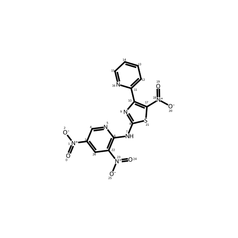 O=[N+]([O-])c1cnc(Nc2nc(-c3ccccn3)c([N+](=O)[O-])s2)c([N+](=O)[O-])c1